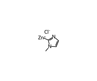 Cn1ccn[c]1[Zn+].[Cl-]